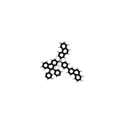 c1ccc(-c2c(-c3ccccc3)c3cc(N(c4ccc(-c5ccc6c(ccc7ccccc76)c5)cc4)c4ccc5c(ccc6ccccc65)c4)ccc3c3ccccc23)cc1